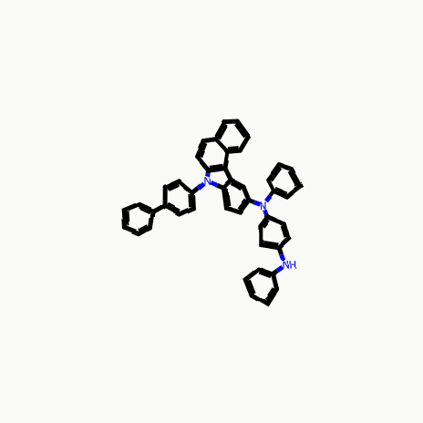 c1ccc(Nc2ccc(N(c3ccccc3)c3ccc4c(c3)c3c5ccccc5ccc3n4-c3ccc(-c4ccccc4)cc3)cc2)cc1